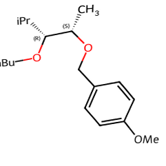 CCCCO[C@H](C(C)C)[C@H](C)OCc1ccc(OC)cc1